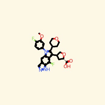 COc1cc(-n2c(C3CCOCC3)c(C3CO[C@H](C(=O)O)C3)c3c(F)c4[nH]ncc4cc32)ccc1F